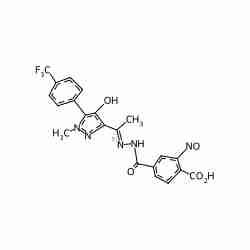 C/C(=N\NC(=O)c1ccc(C(=O)O)c(N=O)c1)c1nn(C)c(-c2ccc(C(F)(F)F)cc2)c1O